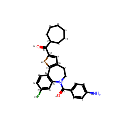 Nc1ccc(C(=O)N2CCc3cc(C(=O)C4CCCCCC4)sc3-c3ccc(F)cc32)cc1